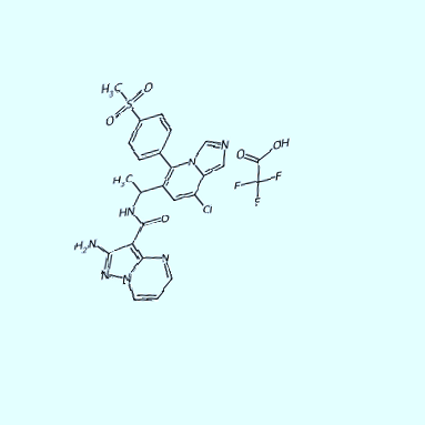 CC(NC(=O)c1c(N)nn2cccnc12)c1cc(Cl)c2cncn2c1-c1ccc(S(C)(=O)=O)cc1.O=C(O)C(F)(F)F